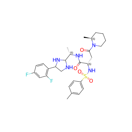 Cc1ccc(S(=O)(=O)N[C@@H](CC(=O)N2CCCC[C@@H]2C)C(=O)N[C@@H](C)C2NCC(c3ccc(F)cc3F)N2)cc1